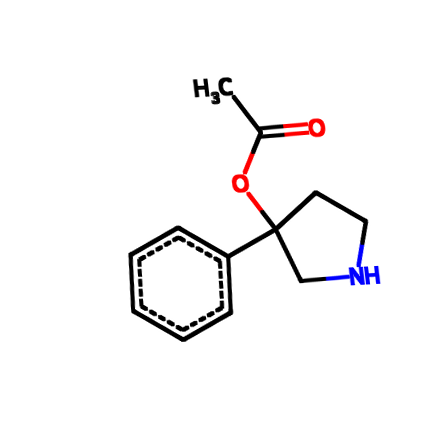 CC(=O)OC1(c2ccccc2)CCNC1